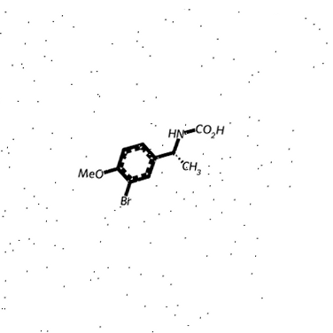 COc1ccc([C@@H](C)NC(=O)O)cc1Br